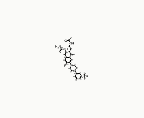 CC(=O)NCCCN(C)c1cc(N2CCN(c3cccc(C(F)(F)F)c3)CC2)c(F)cc1/C=N/NC(N)=S